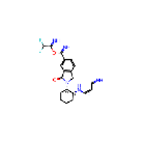 N=C/C=C\N[C@@H]1CCCC[C@@H]1N1Cc2ccc(C(=N)OC(=N)C(F)F)cc2C1=O